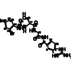 N=C(N)Nc1ccc(C(=O)NC(=O)CNC(=O)[C@H](CO)NC(=O)Nc2ccc(Br)cc2Br)cc1